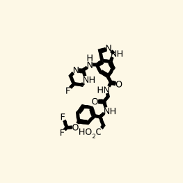 O=C(O)CC(NC(=O)CNC(=O)c1cc(NC2=NCC(F)CN2)c2cn[nH]c2c1)c1cccc(OC(F)F)c1